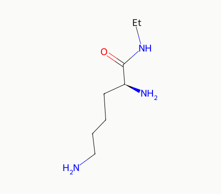 [CH2]CNC(=O)[C@@H](N)CCCCN